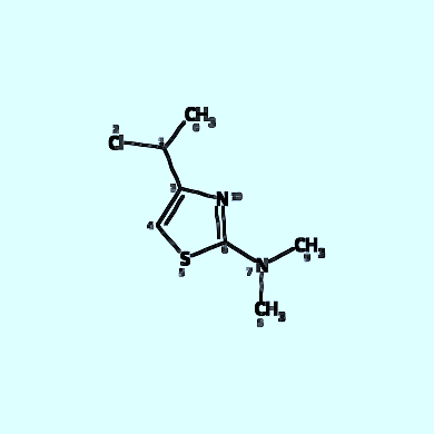 CC(Cl)c1csc(N(C)C)n1